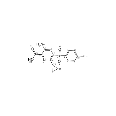 Nc1cc(S(=O)(=O)c2ccc(F)cc2)c(C2CC2)nc1C(=O)O